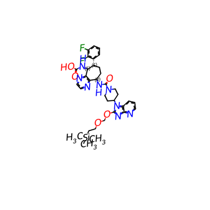 C[Si](C)(C)CCOCOc1nc2ncccc2n1C1CCN(C(=O)N[C@@H]2CC[C@@H](c3cccc(F)c3F)[C@H](NC(=O)O)c3nccnc32)CC1